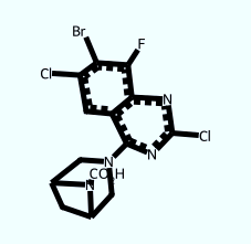 O=C(O)N1C2CC1CN(c1nc(Cl)nc3c(F)c(Br)c(Cl)cc13)C2